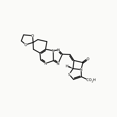 O=C(O)C1=CS[C@@H]2/C(=C\c3nc4ncc5c(n4n3)CCC3(C5)OCCO3)C(=O)N12